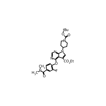 CCOC(=O)c1cn(C2CCN(C(=O)OC(C)(C)C)CC2)c2ncnc(Oc3ccc(C(=O)N(C)C)cc3F)c12